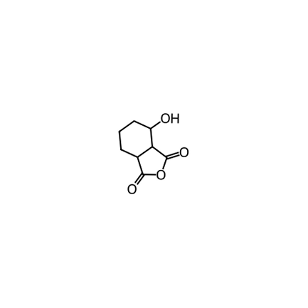 O=C1OC(=O)C2C(O)CCCC12